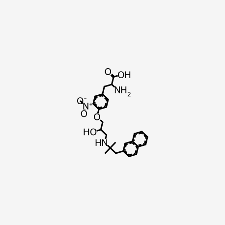 CC(C)(Cc1ccc2ccccc2c1)NCC(O)COc1ccc(CC(N)C(=O)O)cc1[N+](=O)[O-]